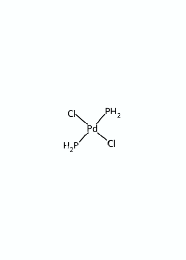 [PH2][Pd]([PH2])([Cl])[Cl]